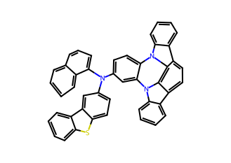 c1ccc2c(N(c3ccc4sc5ccccc5c4c3)c3ccc4c(c3)n3c5ccccc5c5ccc6c7ccccc7n4c6c53)cccc2c1